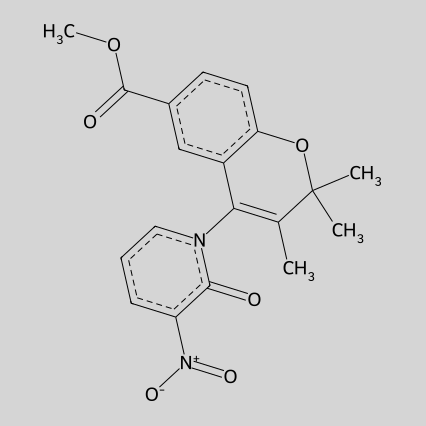 COC(=O)c1ccc2c(c1)C(n1cccc([N+](=O)[O-])c1=O)=C(C)C(C)(C)O2